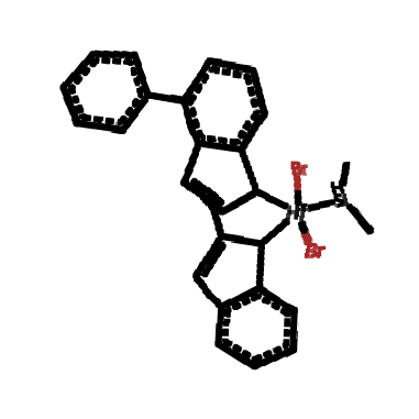 CC1=Cc2ccccc2[CH]1[Hf]([Br])([Br])([CH]1C=Cc2c(-c3ccccc3)cccc21)[SiH](C)C